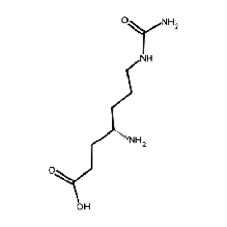 NC(=O)NCCC[C@H](N)CCC(=O)O